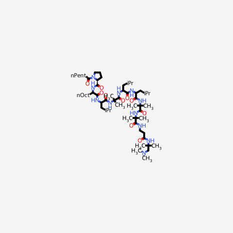 CCCCCCCCC(NC(=O)[C@@H]1CCCN1C(=O)CCCCC)C(=O)NC(CC(C)C)C(=O)NC(C)(C)C(=O)NC(CC(C)C)C(=O)NC(CC(C)C)C(=O)NC(C)(C)C(=O)NC(C)(C)C(=O)NCCC(=O)NC(C)(C)CN(C)C